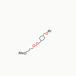 COCCCCOCOCC1CCC(COC(C)C)CC1